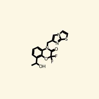 CC(O)c1cccc2c1OC(F)(F)C(=O)N2Cc1cn2ccsc2n1